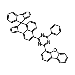 c1ccc(-c2nc(-c3ccc4c5c(cccc35)C3(c5ccccc5-c5ccccc53)c3ccccc3-4)nc(-c3cccc4c3oc3ccccc34)n2)cc1